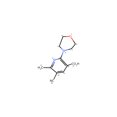 Cc1nc(N2CCOCC2)c(C(=O)O)cc1C#N